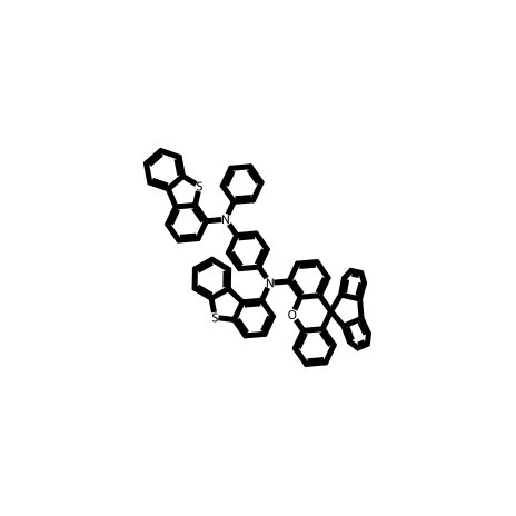 c1ccc(N(c2ccc(N(c3cccc4c3Oc3ccccc3C43c4ccccc4-c4ccccc43)c3cccc4sc5ccccc5c34)cc2)c2cccc3c2sc2ccccc23)cc1